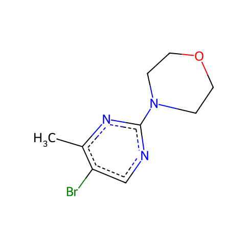 Cc1nc(N2CCOCC2)ncc1Br